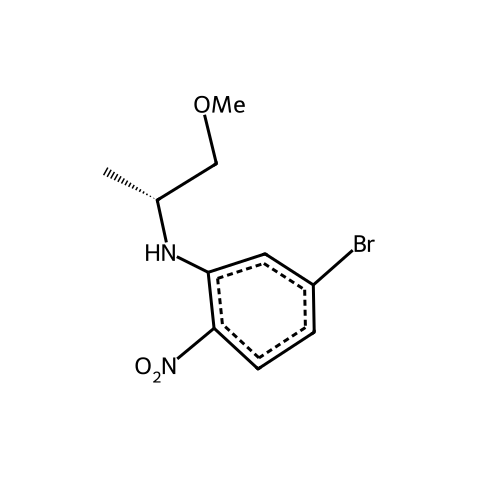 COC[C@@H](C)Nc1cc(Br)ccc1[N+](=O)[O-]